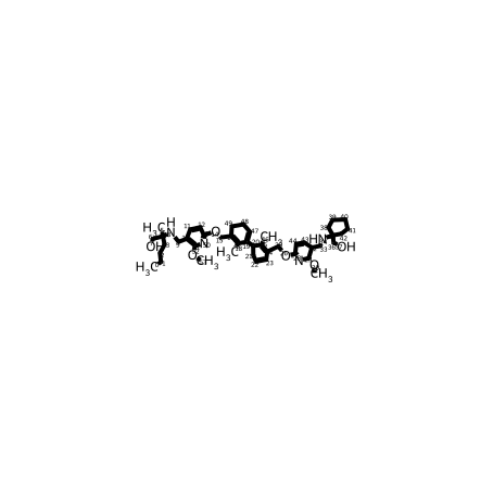 CCCCC(C)(CO)NCc1ccc(OCC2=C(C)C(C3CC=CC(COC4=NC(OC)C(CNC5(CO)CCCCC5)C=C4)=C3C)=CCC2)nc1OC